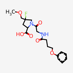 COCC1(F)CC(C(=O)O)N(C(=O)CNC(=O)CCCOc2ccccc2)C1